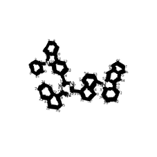 c1ccc(-n2c3ccccc3c3ccc(-c4nc(-c5cccc6ccccc56)nc(-c5cccc6c(-n7c8ccccc8c8cc9ccccc9cc87)cccc56)n4)cc32)cc1